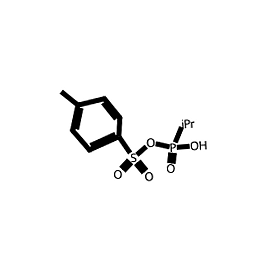 Cc1ccc(S(=O)(=O)OP(=O)(O)C(C)C)cc1